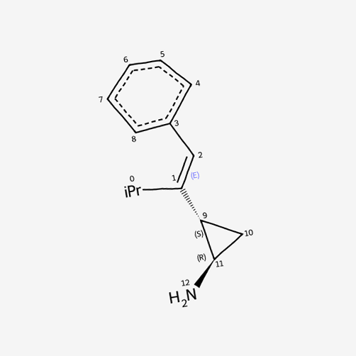 CC(C)/C(=C\c1ccccc1)[C@@H]1C[C@H]1N